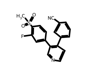 CS(=O)(=O)c1ccc(-c2cnccc2-c2cccc(C#N)c2)cc1F